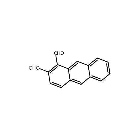 O=Cc1ccc2cc3ccccc3cc2c1C=O